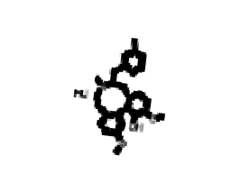 COc1ccc2c(c1)-c1c(ccc(OC)c1O)CC(Cc1cccc(C)c1)N(C)CC2.Cl